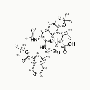 CC(=O)N[C@@H](Cc1ccc(OC(C)(C)C)cc1)C(=O)N[C@@H](Cc1cn(C(=O)OC(C)(C)C)c2ccccc12)C(=O)N[C@@H](CC(C)C)C(=O)O